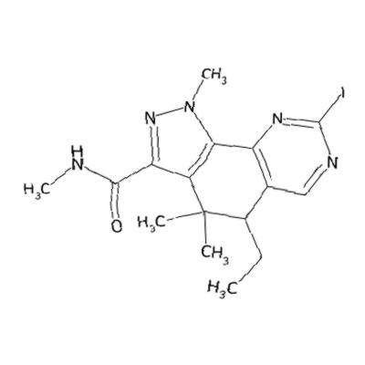 CCC1c2cnc(I)nc2-c2c(c(C(=O)NC)nn2C)C1(C)C